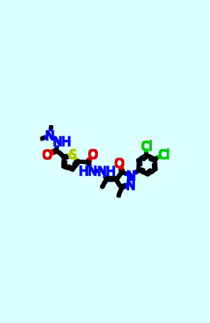 CC1=NN(c2ccc(Cl)c(Cl)c2)C(=O)/C1=C(/C)NNC(=O)c1ccc(C(=O)NN(C)C)s1